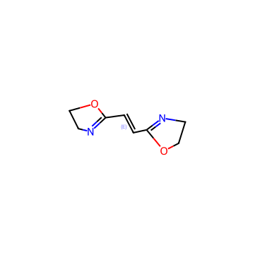 C(=C\C1=NCCO1)/C1=NCCO1